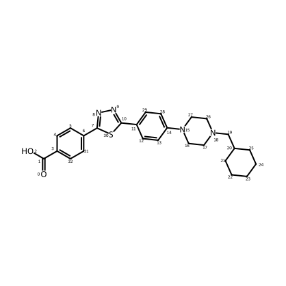 O=C(O)c1ccc(-c2nnc(-c3ccc(N4CCN(CC5CCCCC5)CC4)cc3)s2)cc1